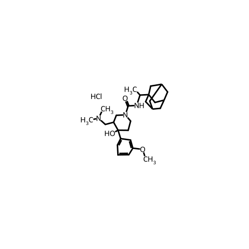 COc1cccc(C2(O)CCN(C(=O)NC(C)C34CC5CC(CC(C5)C3)C4)CC2CN(C)C)c1.Cl